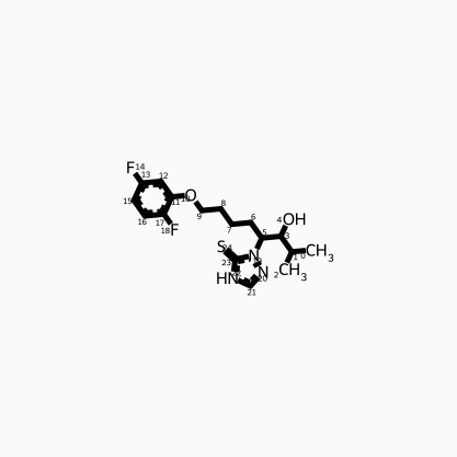 CC(C)C(O)C(CCCCOc1cc(F)ccc1F)n1nc[nH]c1=S